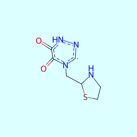 O=c1[nH]n[c]n(CC2NCCS2)c1=O